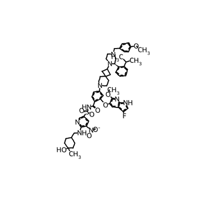 COc1ccc(CN2CCN(C3CC4(CCN(c5ccc(C(=O)NS(=O)(=O)c6cnc(NCC7CCC(C)(O)CC7)c([N+](=O)[O-])c6)c(Oc6cc7c(F)c[nH]c7nc6OC)c5)CC4)C3)[C@H](c3ccccc3C(C)C)C2)cc1